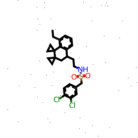 CCc1cccc2c1C1(CC1)C1(CC1)CC2CCNS(=O)(=O)Cc1ccc(Cl)c(Cl)c1